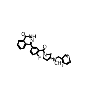 CN(Cc1cccnc1)[C@H]1CCN(C(=O)c2cc(-c3n[nH]c(=O)c4ccccc34)ccc2F)C1